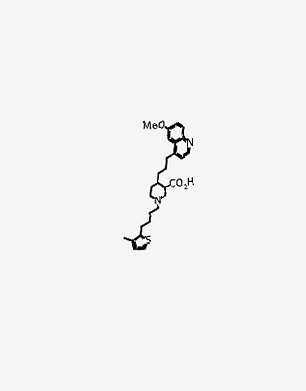 COc1ccc2nccc(CCC[C@@H]3CCN(CCCCc4sccc4C)C[C@@H]3C(=O)O)c2c1